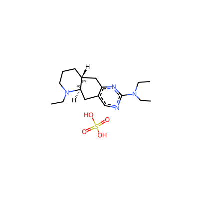 CCN(CC)c1ncc2c(n1)C[C@H]1CCCN(CC)[C@@H]1C2.O=S(=O)(O)O